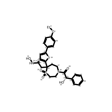 CCOc1ccc(-c2ccc(C3(CC(=O)NO)CCN(C(=O)[C@@H](O)c4ccccc4)CCS3(=O)=O)s2)cc1